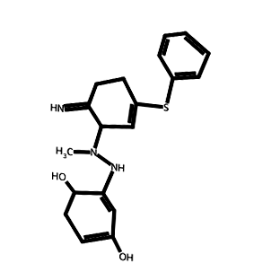 CN(NC1=CC(O)=CCC1O)C1C=C(Sc2ccccc2)CCC1=N